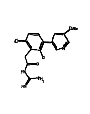 COc1cncc(-c2ccc(Cl)c(CC(=O)NC(=N)N)c2Cl)c1